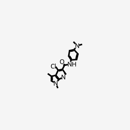 Cc1cn(C)c2ncc(C(=O)Nc3ccc(N(C)C)cc3)c(Cl)c12